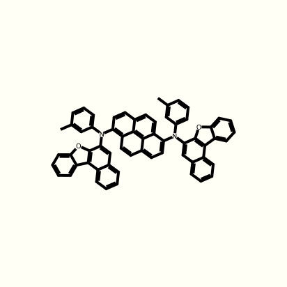 Cc1cccc(N(c2ccc3ccc4c(N(c5cccc(C)c5)c5cc6ccccc6c6c5oc5ccccc56)ccc5ccc2c3c54)c2cc3ccccc3c3c2oc2ccccc23)c1